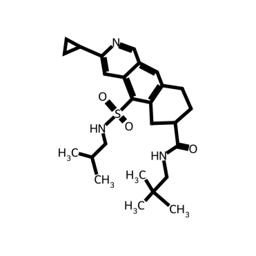 CC(C)CNS(=O)(=O)c1c2c(cc3cnc(C4CC4)cc13)CCC(C(=O)NCC(C)(C)C)C2